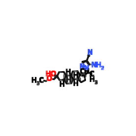 CCOC[C@@]1(O)CC[C@H]2[C@H](CC[C@@H]3[C@@H]2CC[C@]2(C)[C@@H](C(C)n4ncc(C#N)c4N)CC[C@@H]32)C1